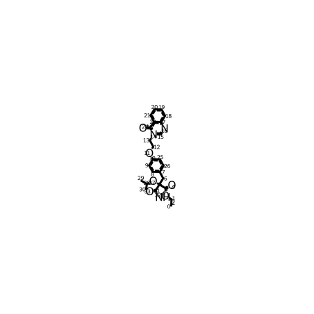 CCOC(=O)C(Cc1ccc(OCCn2cnc3ccccc3c2=O)cc1)(OC(C)C)C(N)=O